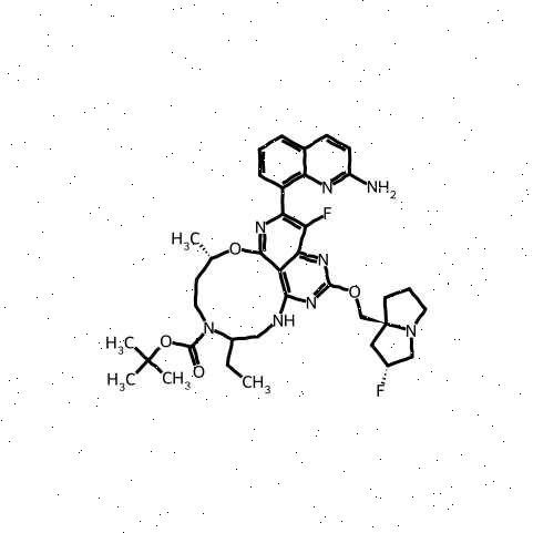 CCC1CNc2nc(OC[C@@]34CCCN3C[C@H](F)C4)nc3c(F)c(-c4cccc5ccc(N)nc45)nc(c23)O[C@@H](C)CCN1C(=O)OC(C)(C)C